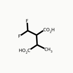 CC(C(=O)O)C(C(=O)O)C(F)F